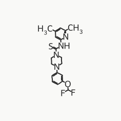 Cc1cc(C)nc(NC(=S)N2CCN(c3cccc(OC(F)F)c3)CC2)c1